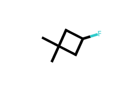 CC1(C)CC(F)C1